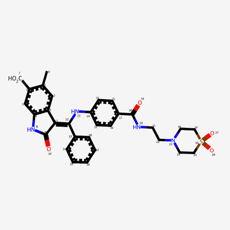 Cc1cc2c(cc1C(=O)O)NC(=O)C2=C(Nc1ccc(C(=O)NCCN2CCS(=O)(=O)CC2)cc1)c1ccccc1